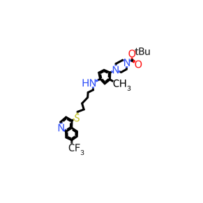 Cc1cc(NCCCCCCSc2ccnc3cc(C(F)(F)F)ccc23)ccc1N1CCN(C(=O)OC(C)(C)C)CC1